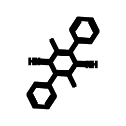 CC1=C(c2ccccc2)C(=N)C(C)=C(c2ccccc2)C1=N